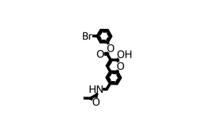 CC1OC1NCc1ccc2c(c1)C=C(C(=O)Oc1cccc(Br)c1)C(O)O2